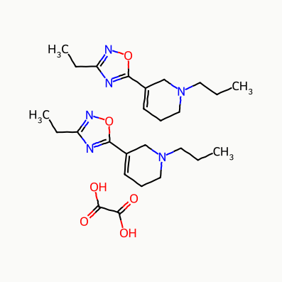 CCCN1CCC=C(c2nc(CC)no2)C1.CCCN1CCC=C(c2nc(CC)no2)C1.O=C(O)C(=O)O